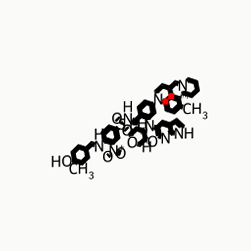 Cc1ccccc1[C@H]1CCCCN1CC1CCN(c2ccc(C(=O)NS(=O)(=O)c3ccc(NCC4CCC(C)(O)CC4)c([N+](=O)[O-])c3)c(N3c4cc5cc[nH]c5nc4O[C@H]4COCC[C@@H]43)c2)CC1